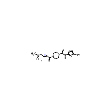 CC(C)c1ccc(NC(=O)C2CCN(C(=O)/C=C/CN(C)C)CC2)s1